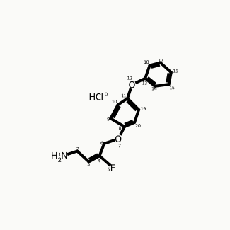 Cl.NC/C=C(/F)COc1ccc(Oc2ccccc2)cc1